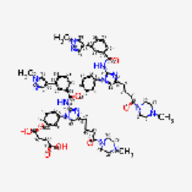 CN1CCN(C(=O)CCCc2cn(-c3ccccc3)c(NC(=O)c3cccc(-c4cnn(C)c4)c3)n2)CC1.CN1CCN(C(=O)CCCc2cn(-c3ccccc3)c(NC(=O)c3cccc(-c4cnn(C)c4)c3)n2)CC1.O=C(O)CCC(=O)O